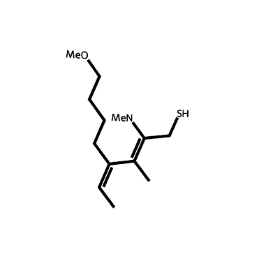 C/C=C(CCCCOC)\C(C)=C(\CS)NC